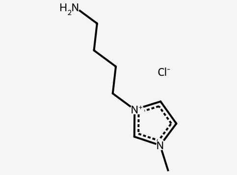 Cn1cc[n+](CCCCN)c1.[Cl-]